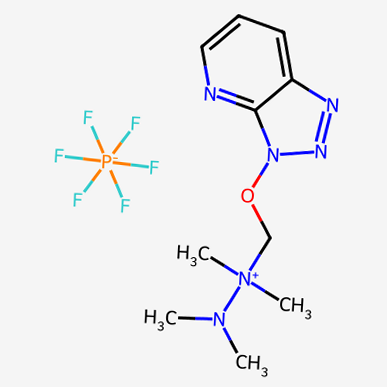 CN(C)[N+](C)(C)COn1nnc2cccnc21.F[P-](F)(F)(F)(F)F